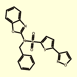 O=S(=O)(c1ccc(-c2ccon2)s1)N(Cc1ccccc1)c1nc2ccccc2o1